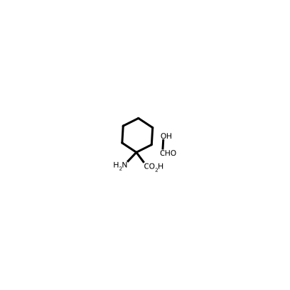 NC1(C(=O)O)CCCCC1.O=CO